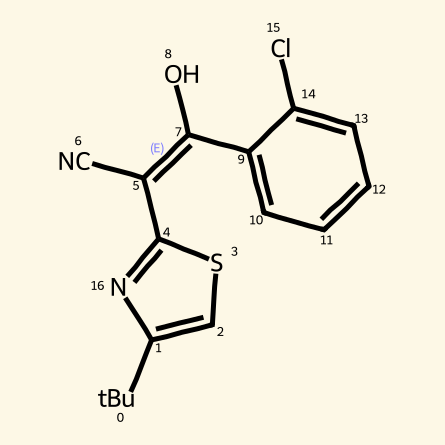 CC(C)(C)c1csc(/C(C#N)=C(/O)c2ccccc2Cl)n1